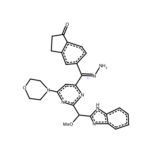 COC(c1nc(/C(=N/N)c2ccc3c(c2)CCC3=O)cc(N2CCOCC2)n1)c1nc2ccccc2[nH]1